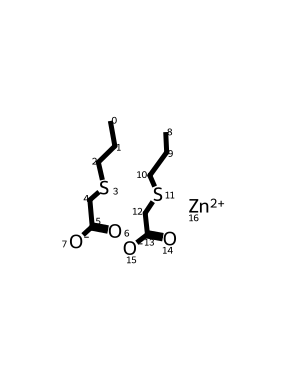 CCCSCC(=O)[O-].CCCSCC(=O)[O-].[Zn+2]